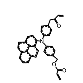 C=CC(=O)Cc1ccc(N(c2ccc(COC(=O)C=C)cc2)c2ccc3ccc4cccc5ccc2c3c45)cc1